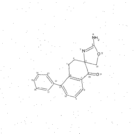 NC1=NC2(CCc3c(cccc3-c3ccccc3)C2=O)CO1